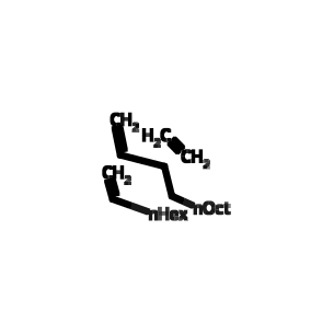 C=C.C=CCCCCCC.C=CCCCCCCCCCC